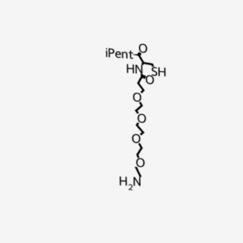 CCC[C@H](C)C(=O)C(CS)NC(=O)CCOCCOCCOCCOCCN